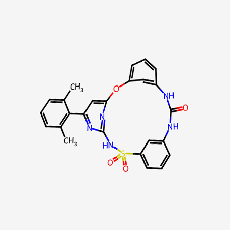 Cc1cccc(C)c1-c1cc2nc(n1)NS(=O)(=O)c1cccc(c1)NC(=O)Nc1cccc(c1)O2